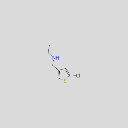 CCNCc1csc(Cl)c1